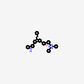 c1ccc(CCC2c3ccc(-c4ccc5[nH]c6ccccc6c5c4)cc3-c3cc(-c4ccc5oc6c(-c7nc(-c8ccccc8)nc(-c8ccccc8)n7)cccc6c5c4)ccc32)cc1